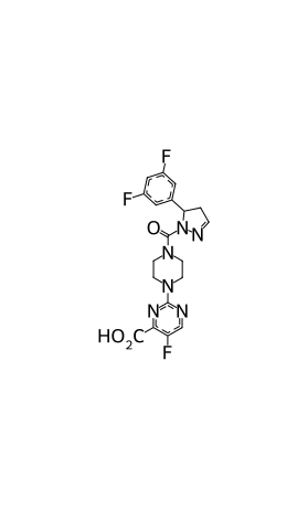 O=C(O)c1nc(N2CCN(C(=O)N3N=CCC3c3cc(F)cc(F)c3)CC2)ncc1F